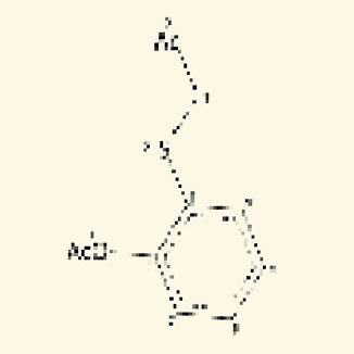 CC(=O)CSc1ccccc1OC(C)=O